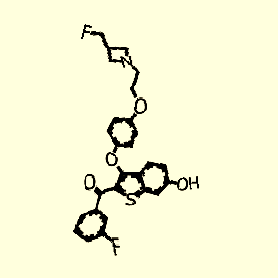 O=C(c1cccc(F)c1)c1sc2cc(O)ccc2c1Oc1ccc(OCCN2CC(CF)C2)cc1